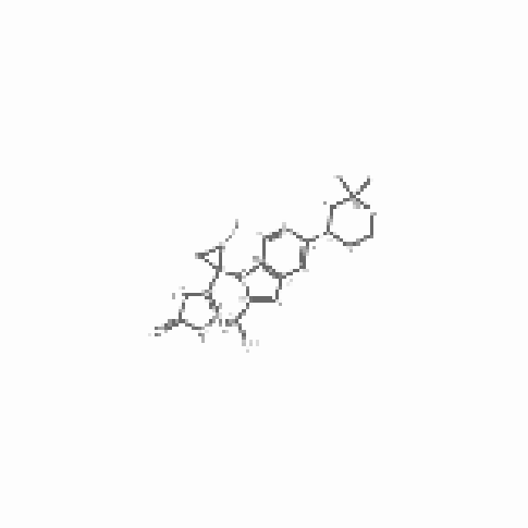 C[C@H]1C[C@]1(c1noc(=O)[nH]1)n1c(C(=O)O)cc2cc([C@@H]3CCOC(C)(C)C3)ncc21